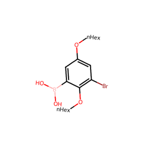 CCCCCCOc1cc(Br)c(OCCCCCC)c(B(O)O)c1